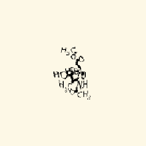 CCOC(=O)CCP(=O)(O)C(NC(C)=O)C(C)C(=O)O